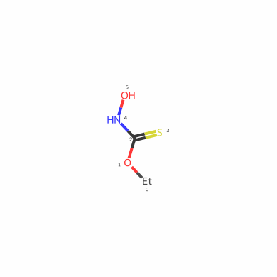 CCOC(=S)NO